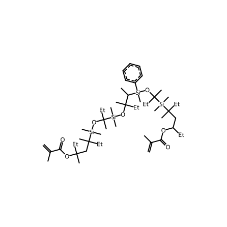 C=C(C)C(=O)OC(CC)CC(C)(CC)[Si](C)(C)C(C)(CC)O[Si](C)(c1ccccc1)C(C)C(C)(CC)O[Si](C)(C)C(C)(CC)O[Si](C)(C)C(C)(CC)CC(C)(CC)OC(=O)C(=C)C